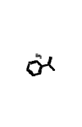 B.C=C(C)c1ccccc1